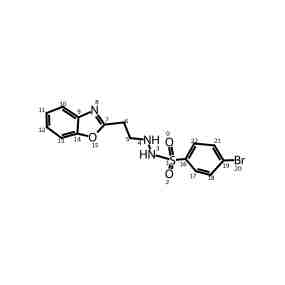 O=S(=O)(NNCCc1nc2ccccc2o1)c1ccc(Br)cc1